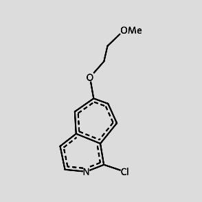 COCCOc1ccc2c(Cl)nccc2c1